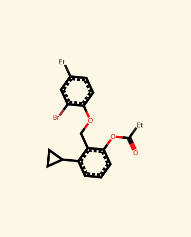 CCC(=O)Oc1cccc(C2CC2)c1COc1ccc(CC)cc1Br